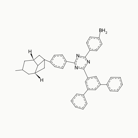 Bc1ccc(-c2nc(-c3ccc(C45C[C@H]6CC(C)C[C@@H](C4)C65)cc3)nc(-c3cc(-c4ccccc4)cc(-c4ccccc4)c3)n2)cc1